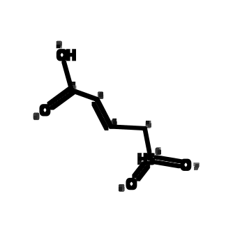 O=C(O)/C=C/C[SH](=O)=O